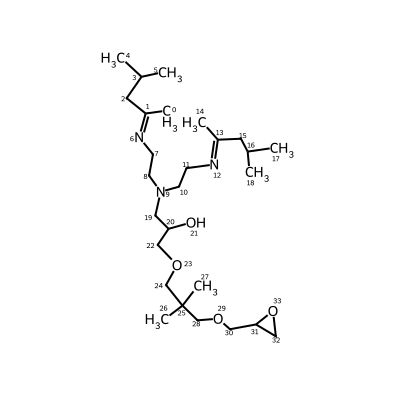 C/C(CC(C)C)=N\CCN(CC/N=C(\C)CC(C)C)CC(O)COCC(C)(C)COCC1CO1